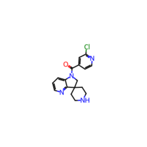 O=C(c1ccnc(Cl)c1)N1CC2(CCNCC2)c2ncccc21